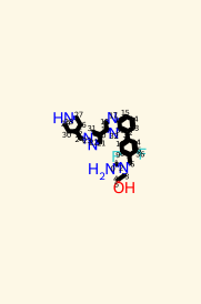 NCN(CCO)Cc1c(F)cc(-c2cccc3ncc(-c4cnn(CC5CCNCC5)c4)nc23)cc1F